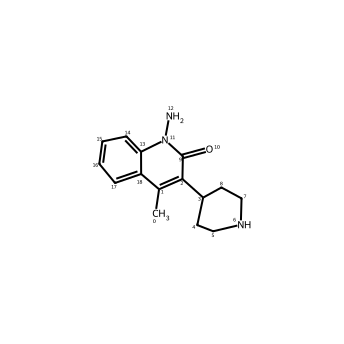 Cc1c(C2CCNCC2)c(=O)n(N)c2ccccc12